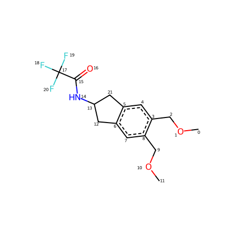 COCc1cc2c(cc1COC)CC(NC(=O)C(F)(F)F)C2